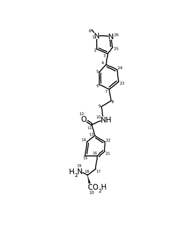 Cn1cc(-c2ccc(CCNC(=O)c3ccc(C[C@H](N)C(=O)O)cc3)cc2)cn1